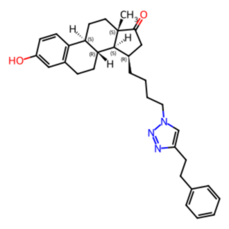 C[C@]12CC[C@@H]3c4ccc(O)cc4CC[C@H]3[C@@H]1[C@H](CCCCn1cc(CCc3ccccc3)nn1)CC2=O